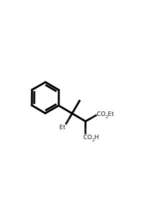 CCOC(=O)C(C(=O)O)C(C)(CC)c1ccccc1